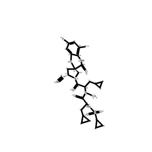 CN(C(=O)C(CC1CC1)NS(=O)(=O)C1CC1)C(CC1CC1)C(=O)N1C[C@@]2(C[C@H]1C#N)Oc1cc(F)cc(F)c1NC2=O